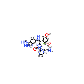 COc1cc(OCCN(C)C)c(F)c(C(Nc2ccc3c(c2)CNC3=N)c2nn(-c3ncccn3)c(=O)[nH]2)c1